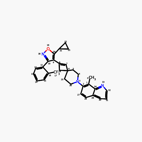 Cc1c(N2CCC3(C=C(c4c(-c5ccccc5C(F)(F)F)noc4C4CC4)C3)CC2)ccc2cccnc12